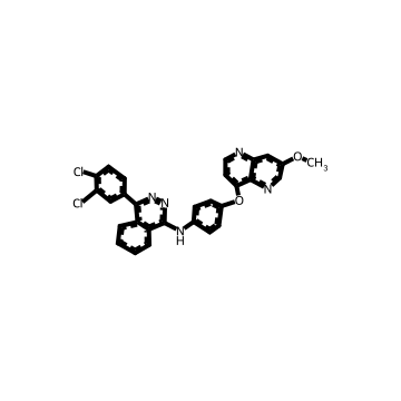 COc1cnc2c(Oc3ccc(Nc4nnc(-c5ccc(Cl)c(Cl)c5)c5ccccc45)cc3)ccnc2c1